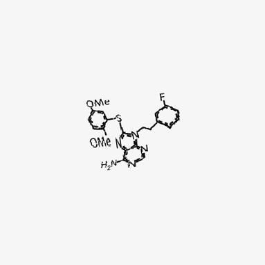 COc1ccc(OC)c(Sc2nc3c(N)ncnc3n2CCc2cccc(F)c2)c1